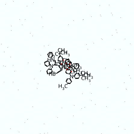 Cc1ccc(N(c2ccc(C(C)(C)C)cc2)c2ccc3c(c2)N(c2ccccc2)c2ccccc2B3c2c/c3cc(N(c4ccc(C(C)(C)C)cc4)c4ccc(C(C)(C)C)cc4)cc(/c(=C\Nc4ccccc4)cc2N(C)c2ccccc2)N(c2ccccc2)c2ccccc2B\C=3)cc1